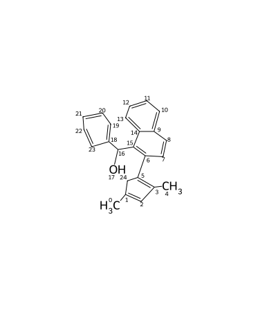 CC1=CC(C)=C(c2ccc3ccccc3c2C(O)c2ccccc2)C1